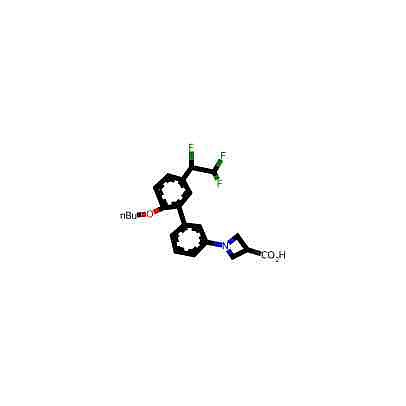 CCCCOc1ccc(C(F)C(F)F)cc1-c1cccc(N2CC(C(=O)O)C2)c1